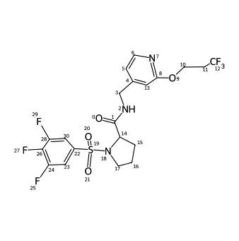 O=C(NCc1ccnc(OCCC(F)(F)F)c1)C1CCCN1S(=O)(=O)c1cc(F)c(F)c(F)c1